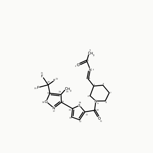 CC(=O)/N=C/C1CCCN(C(=O)c2ccc(-c3noc(C(F)(F)F)c3C)s2)C1